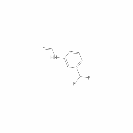 C=CNc1cccc(C(F)F)c1